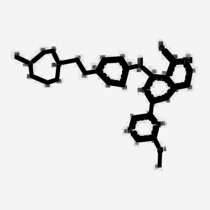 COc1cncc(-c2cc3cc[nH]c(=O)c3c(Nc3ccc(CCN4CCCN(C)CC4)cc3)n2)n1